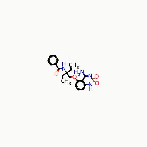 CCC(CC)(COc1cccc2c1C(N)=NS(=O)(=O)N2)NC(=O)c1ccccc1